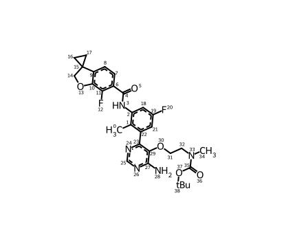 Cc1c(NC(=O)c2ccc3c(c2F)OCC32CC2)cc(F)cc1-c1ncnc(N)c1OCCN(C)C(=O)OC(C)(C)C